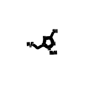 CCn1nnc(S)n1.[NaH]